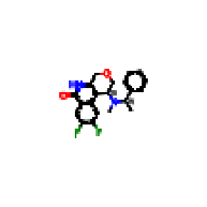 C[C@H](c1ccccc1)N(C)[C@@H]1COCc2[nH]c(=O)c3cc(F)c(F)cc3c21